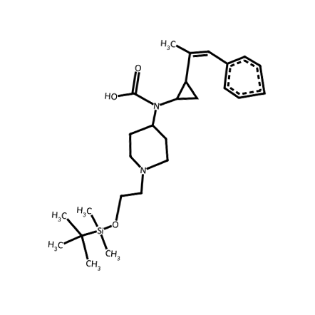 CC(=Cc1ccccc1)C1CC1N(C(=O)O)C1CCN(CCO[Si](C)(C)C(C)(C)C)CC1